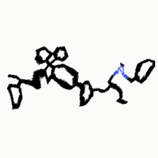 C=C/C(=C\C=C1/Cc2cc(-c3cccc(/C=C/C(=C\C=C/C)CN(C)Cc4ccccc4)c3)ccc2C1(C1=CCCC=C1)c1ccccc1)C1=CCCC=C1